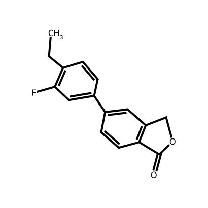 CCc1ccc(-c2ccc3c(c2)COC3=O)cc1F